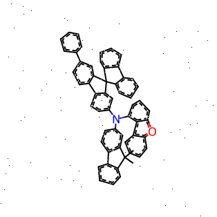 CC1(C)c2ccccc2-c2ccc(N(c3ccc4c(c3)C3(c5ccccc5-c5ccccc53)c3cc(-c5ccccc5)ccc3-4)c3cccc4oc5ccccc5c34)cc21